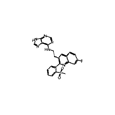 CS(=O)(=O)c1ccccc1-c1nc2cc(F)ccc2cc1CCNc1ncnc2[nH]cnc12